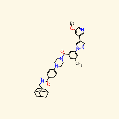 CCOc1cncc(-c2cnn(-c3cc(C(=O)N4CCN(c5ccc(C(=O)N(C)CC67CC8CC(CC(C8)C6)C7)cc5)CC4)cc(C(F)(F)F)c3)c2)c1